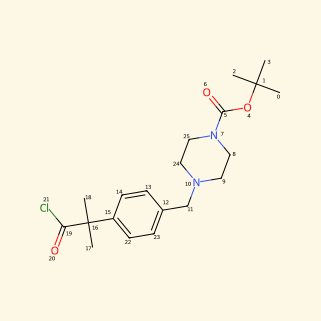 CC(C)(C)OC(=O)N1CCN(Cc2ccc(C(C)(C)C(=O)Cl)cc2)CC1